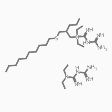 CCCCCCCCCCSCC(CCC)C[N+](CC)(CC)C(=N)NC(=N)N.CCN(CC)C(=N)NC(=N)N